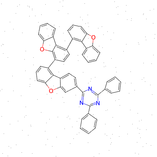 c1ccc(-c2nc(-c3ccccc3)nc(-c3ccc4c(c3)oc3cccc(-c5ccc(-c6cccc7oc8ccccc8c67)c6c5oc5ccccc56)c34)n2)cc1